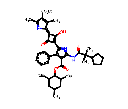 CCOC(=O)C1=C(C)/C(=C2/C(=O)C(c3[nH]c(NC(=O)C(C)(C)C4CCCC4)c(C(=O)OC4C(C(C)(C)C)CC(C)CC4C(C)(C)C)c3-c3ccccc3)=C2O)N=C1C